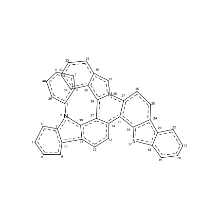 c1ccc(-n2c3ccccc3c3ccc4c5c6sc7ccccc7c6ccc5n5cc6ccccc6c5c4c32)cc1